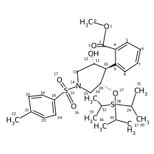 COC(=O)c1ccccc1[C@@H]1[C@@H](O)CN(S(=O)(=O)c2ccc(C)cc2)C[C@H]1O[Si](C(C)C)(C(C)C)C(C)C